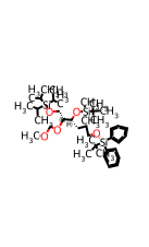 COCO[C@H](CO[Si](C(C)C)(C(C)C)C(C)C)[C@@H](CCCO[Si](c1ccccc1)(c1ccccc1)C(C)(C)C)O[Si](C)(C)C(C)(C)C